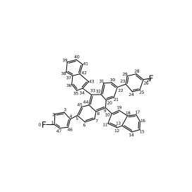 Fc1ccc(-c2ccc3c(-c4ccc5ccccc5c4)c4cc(-c5ccc(F)cc5)ccc4c(-c4ccc5ccccc5c4)c3c2)cc1